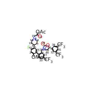 COc1cc(F)c(C2CCN(CC(=O)OC(C)=O)CC2)cc1-c1ccc(C(F)(F)F)cc1CN1C(=O)O[C@H](c2cc(C(F)(F)F)cc(C(F)(F)F)c2)[C@@H]1C